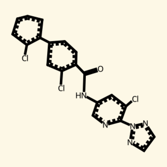 O=C(Nc1cnc(-n2nccn2)c(Cl)c1)c1ccc(-c2ccccc2Cl)cc1Cl